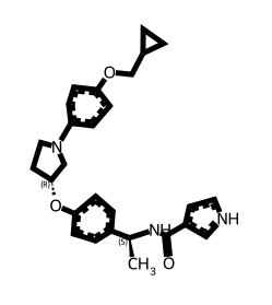 C[C@H](NC(=O)c1cc[nH]c1)c1ccc(O[C@@H]2CCN(c3ccc(OCC4CC4)cc3)C2)cc1